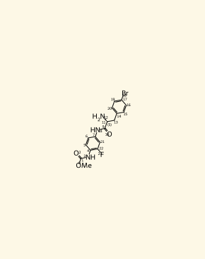 COC(=O)Nc1ccc(NC(=O)[C@@H](N)Cc2ccc(Br)cc2)cc1F